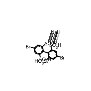 O=S(=O)(O)c1cc(Br)cc(S(=O)(=O)O)c1-c1c(S(=O)(=O)O)cc(Br)cc1S(=O)(=O)O.[NaH].[NaH].[NaH].[NaH]